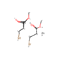 COC(=O)CCS.COC(=O)CCS.[Zn]